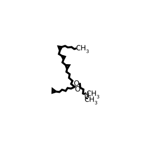 CCCCCC1CC1CC1CC1CC1CC1CCCCCC1(CCCCCC2CC2)OCC(CCN(C)C)O1